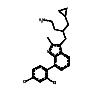 Cn1nc2c(-c3ccc(Cl)cc3Cl)cccc2c1CC(CCN)CC1CC1